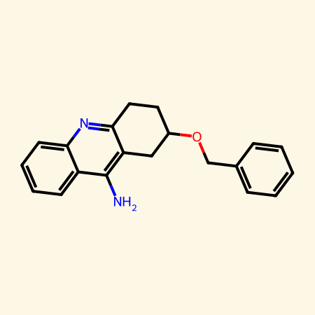 Nc1c2c(nc3ccccc13)CCC(OCc1ccccc1)C2